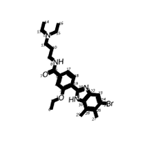 CCOc1cc(C(=O)NCCCN(CC)CC)ccc1-c1nc2cc(Br)c(C)c(C)c2[nH]1